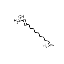 C[SiH2]CCCCCCCCCOO[SiH2]O